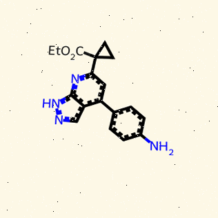 CCOC(=O)C1(c2cc(-c3ccc(N)cc3)c3cn[nH]c3n2)CC1